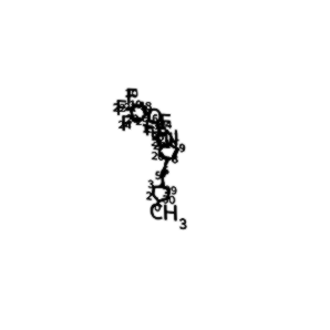 CC1CCC(C#Cc2ccc3nc(C(F)(F)Oc4cc(F)c(F)c(F)c4)sc3c2)CC1